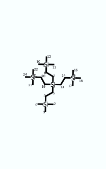 C[Si](C)(C)CC[Si](CC[Si](C)(C)C)(CC[Si](C)(C)C)CC[Si](C)(C)C